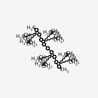 Cc1ccc2c(c1)C(CCCCCC[N+](C)(C)C)(CCCCCC[N+](C)(C)C)c1cc(-c3ccc4c(c3)C(CCCCCC[N+](C)(C)C)(CCCCCC[N+](C)(C)C)c3cc(-c5ccc(-c6ccc7c(c6)C(CCCCCC[N+](C)(C)C)(CCCCCC[N+](C)(C)C)c6cc(-c8ccc9c(c8)C(CCCCCC[N+](C)(C)C)(CCCCCC[N+](C)(C)C)c8cc(C)ccc8-9)ccc6-7)cc5)ccc3-4)ccc1-2